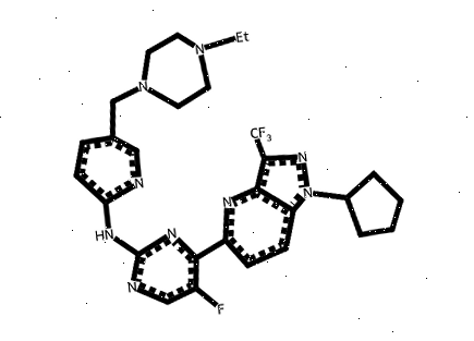 CCN1CCN(Cc2ccc(Nc3ncc(F)c(-c4ccc5c(n4)c(C(F)(F)F)nn5C4CCCC4)n3)nc2)CC1